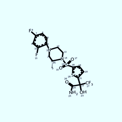 C[C@@H]1CN(c2ccc(F)cc2F)CCN1S(=O)(=O)c1ccc(C(O)(C(N)=O)C(F)(F)F)s1